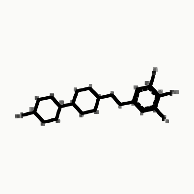 Fc1cc(CCC2CCC(C3CCC(I)CC3)CC2)cc(F)c1F